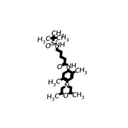 CC1=CC(N2CC(C)OC(C)C2)=C(C)CC1NC(=O)CCCCN[S+]([O-])C(C)(C)C